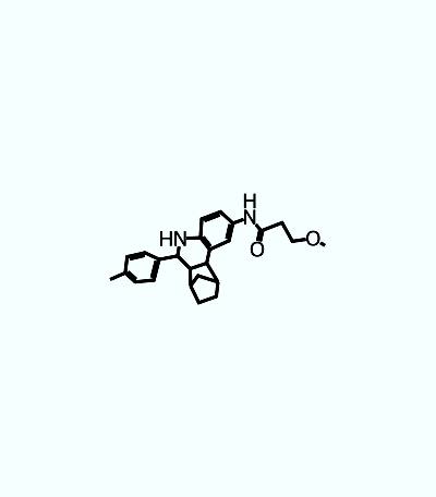 COCCC(=O)Nc1ccc2c(c1)C1C3CCC(C3)C1C(c1ccc(C)cc1)N2